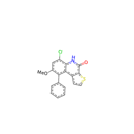 COc1cc(Cl)c2[nH]c(=O)c3sccc3c2c1-c1c[c]ccc1